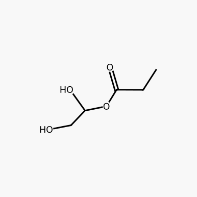 CCC(=O)OC(O)CO